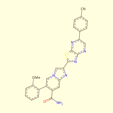 COc1ccccc1-c1cn2cc(-c3nc4ncc(-c5ccc(C#N)cc5)nc4s3)nc2cc1C(N)=O